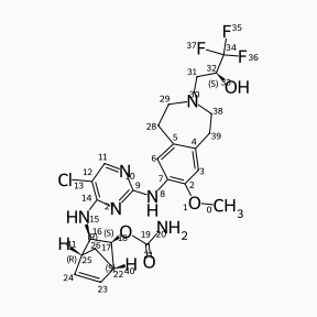 COc1cc2c(cc1Nc1ncc(Cl)c(N[C@H]3[C@@H](OC(N)=O)[C@@H]4C=C[C@H]3C4)n1)CCN(C[C@H](O)C(F)(F)F)CC2